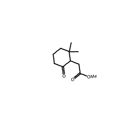 COC(=O)CC1C(=O)CCCC1(C)C